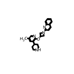 Cc1cnc(OC2CN(c3ccc4ccccc4n3)C2)c(C2CCNCC2)c1